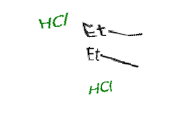 CCC.CCC.Cl.Cl